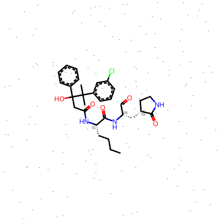 CCCC[C@H](NC(=O)CC(O)(c1ccccc1)C(C)(C)c1cccc(Cl)c1)C(=O)N[C@H](C=O)C[C@@H]1CCNC1=O